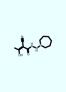 C/C(O)=C(\C#N)C(=O)NNN1CCCCCC1